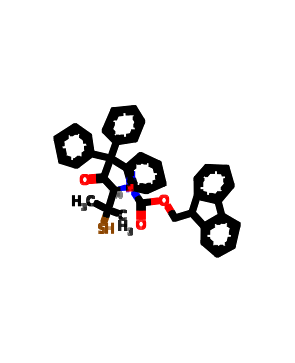 CC(C)(S)[C@H](NC(=O)OCC1c2ccccc2-c2ccccc21)C(=O)C(c1ccccc1)(c1ccccc1)c1ccccc1